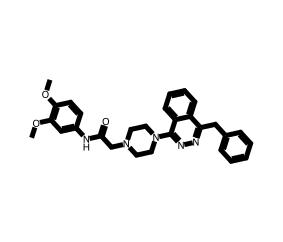 COc1ccc(NC(=O)CN2CCN(c3nnc(Cc4ccccc4)c4ccccc34)CC2)cc1OC